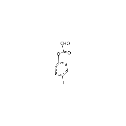 O=CC(=O)Oc1ccc(I)cc1